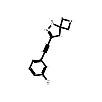 Clc1cccc(C#CC2=NOC3(COC3)C2)c1